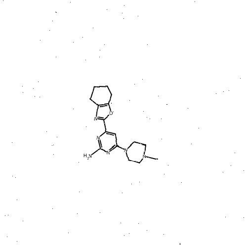 CN1CCN(c2cc(-c3nc4c(o3)CCCC4)nc(N)n2)CC1